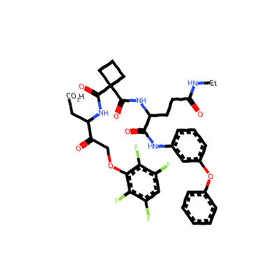 CCNC(=O)CCC(NC(=O)C1(C(=O)NC(CC(=O)O)C(=O)COc2c(F)c(F)cc(F)c2F)CCC1)C(=O)Nc1cccc(Oc2ccccc2)c1